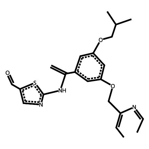 C=C(Nc1ncc(C=O)s1)c1cc(OCC(=C/C)/N=C\C)cc(OCC(C)C)c1